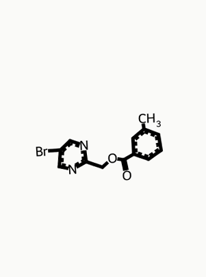 Cc1cccc(C(=O)OCc2ncc(Br)cn2)c1